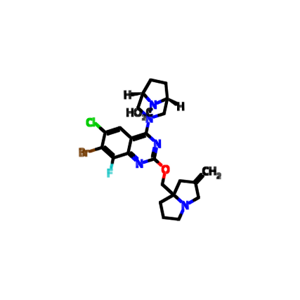 C=C1CN2CCCC2(COc2nc(N3C[C@H]4CC[C@@H](C3)N4C(=O)O)c3cc(Cl)c(Br)c(F)c3n2)C1